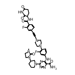 CN1CCN(C2CCCN(c3nnc(C(N)=O)c(Nc4ccc(N5CCN(C#Cc6ccc(C(=O)NC7CCC(=O)NC7=O)c(F)c6)CC5)c(F)c4)n3)C2)C1=O